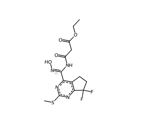 CCOC(=O)CC(=O)N/C(=N\O)c1nc(SC)nc2c1CCC2(F)F